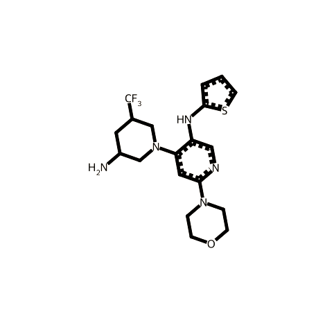 NC1CC(C(F)(F)F)CN(c2cc(N3CCOCC3)ncc2Nc2cccs2)C1